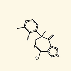 C=C1c2cscc2C(CC)=NCC1(C)c1cccc(C)c1F